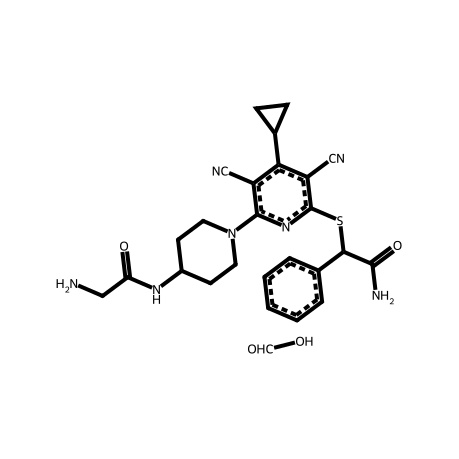 N#Cc1c(SC(C(N)=O)c2ccccc2)nc(N2CCC(NC(=O)CN)CC2)c(C#N)c1C1CC1.O=CO